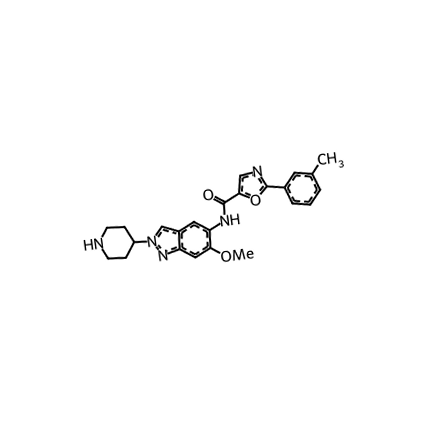 COc1cc2nn(C3CCNCC3)cc2cc1NC(=O)c1cnc(-c2cccc(C)c2)o1